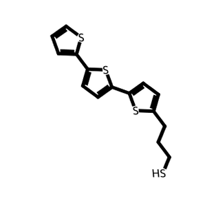 SCCCc1ccc(-c2ccc(-c3cccs3)s2)s1